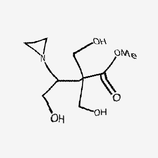 COC(=O)C(CO)(CO)C(CO)N1CC1